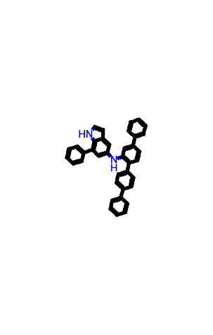 c1ccc(-c2ccc(-c3ccc(-c4ccccc4)cc3Nc3cc(-c4ccccc4)c4[nH]ccc4c3)cc2)cc1